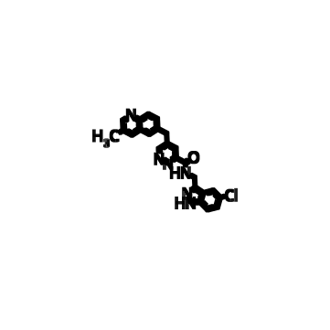 Cc1cnc2ccc(Cc3cnnc(C(=O)NCc4n[nH]c5ccc(Cl)cc45)c3)cc2c1